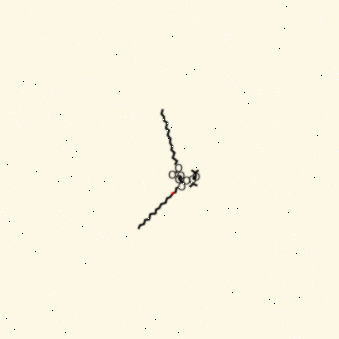 CC(C)OOC(C)C.CCCCCCCCCCCCCCCCOC(=O)OOC(=O)OCCCCCCCCCCCCCCCC